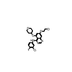 Fc1ccc(Nc2ncnc3cc(OCCCl)cc(OC4CCOCC4)c23)cc1Cl